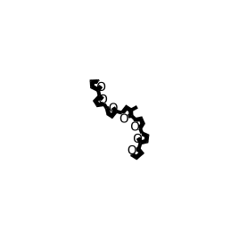 Cc1cc(-c2ccc(-c3ccc(-c4ccco4)o3)o2)oc1-c1ccc(-c2ccc(-c3ccco3)o2)o1